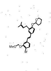 COCOc1cc(C=Cc2ccc(OC3CCCCO3)c(CC=C(C)C)c2)ccc1Br